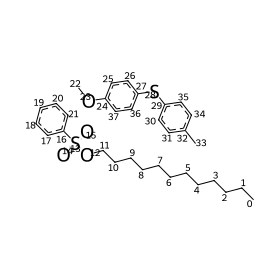 CCCCCCCCCCCCOS(=O)(=O)c1ccccc1.COc1ccc(Sc2ccc(C)cc2)cc1